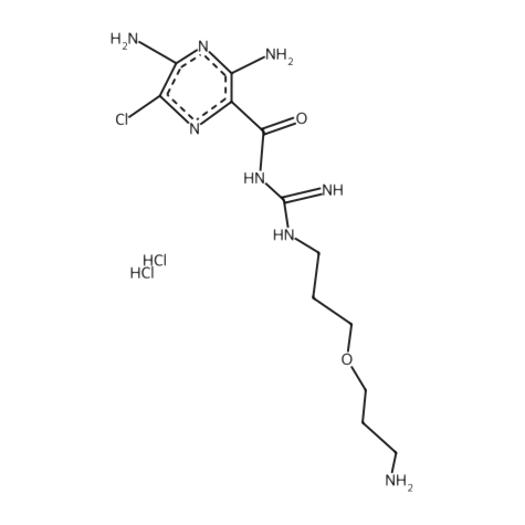 Cl.Cl.N=C(NCCCOCCCN)NC(=O)c1nc(Cl)c(N)nc1N